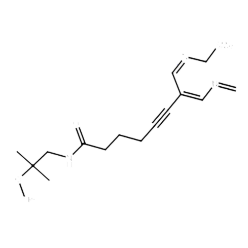 C=N/C=C(C#CCCCC(=O)NCC(C)(C)OCCC)\C=N/CSC